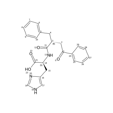 O=C(C[C@@H](Cc1ccccc1)C(=O)N[C@@H](Cc1c[nH]cn1)C(=O)O)c1ccccc1